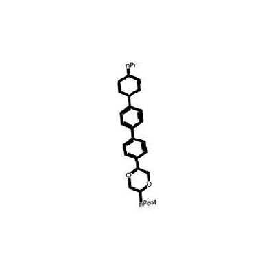 CCCCCC1COC(c2ccc(-c3ccc(C4CCC(CCC)CC4)cc3)cc2)CO1